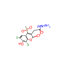 CS(=O)(=O)c1c(CC(=O)NN)c(=O)oc2c(F)c(O)c(F)cc12